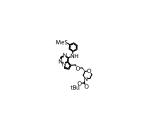 CSc1cccc(Nc2ncnn3ccc(COC[C@@H]4CN(C(=O)OC(C)(C)C)CCO4)c23)c1